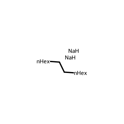 [CH2]CCCCCCCCCCCCC.[NaH].[NaH]